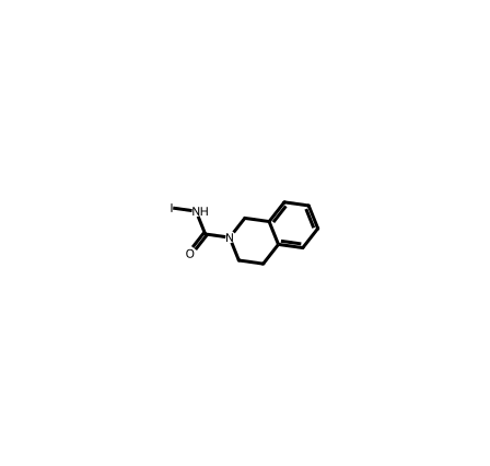 O=C(NI)N1CCc2ccccc2C1